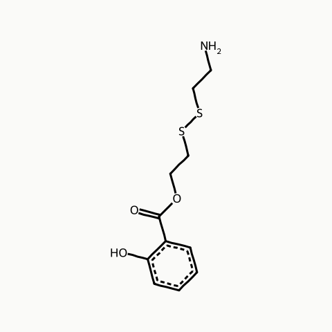 NCCSSCCOC(=O)c1ccccc1O